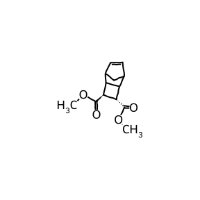 COC(=O)[C@H]1C2C3C=CC(C3)C2[C@@H]1C(=O)OC